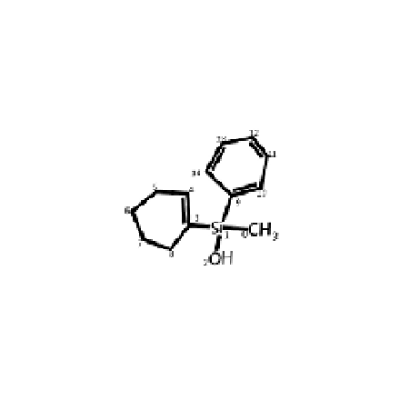 C[Si](O)(C1=CCCCC1)c1ccccc1